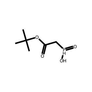 CC(C)(C)OC(=O)C[PH](=O)O